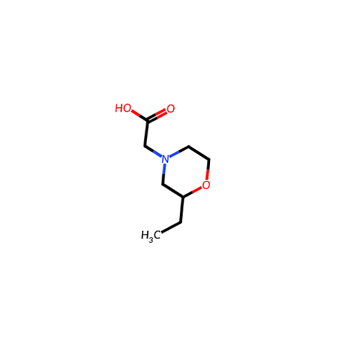 CCC1CN(CC(=O)O)CCO1